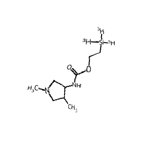 [3H][Si]([3H])([3H])CCOC(=O)NC1CN(C)CC1C